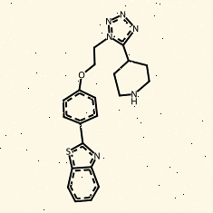 c1ccc2sc(-c3ccc(OCCn4nnnc4C4CCNCC4)cc3)nc2c1